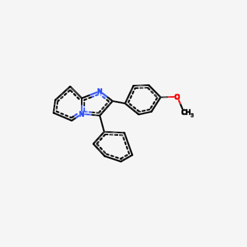 COc1ccc(-c2nc3ccccn3c2-c2ccccc2)cc1